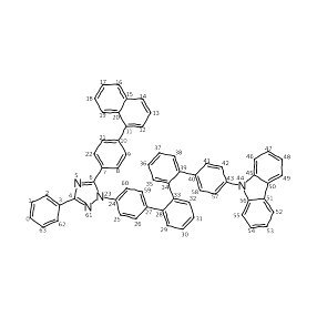 c1ccc(-c2nc(-c3ccc(-c4cccc5ccccc45)cc3)n(-c3ccc(-c4ccccc4-c4ccccc4-c4ccc(-n5c6ccccc6c6ccccc65)cc4)cc3)n2)cc1